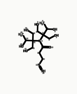 CC(O)C(CO)(CO)N(C(=O)CCN=N)C(CO)(CO)C(C)O